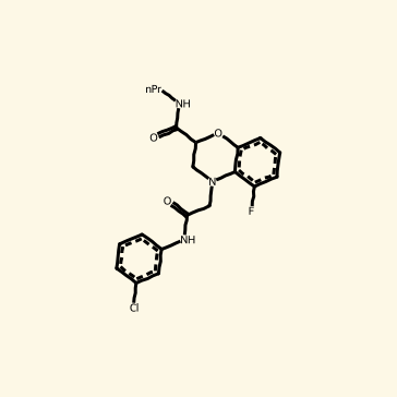 CCCNC(=O)C1CN(CC(=O)Nc2cccc(Cl)c2)c2c(F)cccc2O1